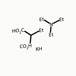 CCC(C(=O)O)C(=O)O.CCN(CC)CC.[KH]